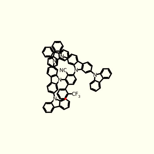 N#Cc1c(-n2c3cc(-n4c5ccccc5c5ccccc54)ccc3c3ccc(-n4c5ccccc5c5ccccc54)cc32)ccc(-c2ccccc2C(F)(F)F)c1-n1c2cc(-n3c4ccccc4c4ccccc43)ccc2c2ccc(-n3c4ccccc4c4ccccc43)cc21